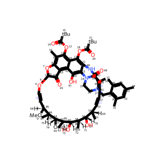 CO[C@H]1/C=C\O[C@@]2(C)Oc3c(C)c(OC(=O)C(C)(C)C)c4c(OC(=O)C(C)(C)C)c(c(N5CCN(Cc6c(C)cc(C)cc6C)CC5)c(O)c4c3C2=O)NC(=O)/C(C)=C\C=C/[C@H](C)[C@H](O)[C@@H](C)[C@@H](O)[C@@H](C)[C@H](OC(C)=O)[C@@H]1C